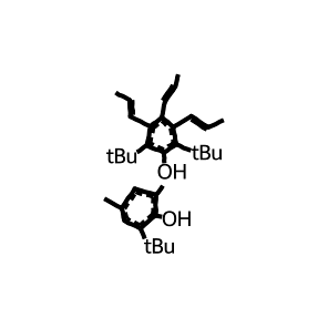 CC=Cc1c(C=CC)c(C(C)(C)C)c(O)c(C(C)(C)C)c1C=CC.Cc1cc(C)c(O)c(C(C)(C)C)c1